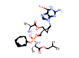 CCC(CC)COC(=O)[C@H](CC(C)C)NP(=O)(OCC1(COC(=O)[C@@H](N)C(C)C)C/C1=C/n1cnc2c(=O)[nH]c(N)nc21)Oc1ccccc1